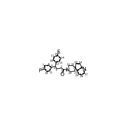 O=C(CCC(c1ccc(F)cc1)c1ccc(F)cc1)N1CCC2(C=Cc3ncccc32)CC1